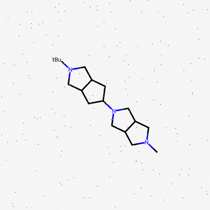 CN1CC2CN(C3CC4CN(C(C)(C)C)CC4C3)CC2C1